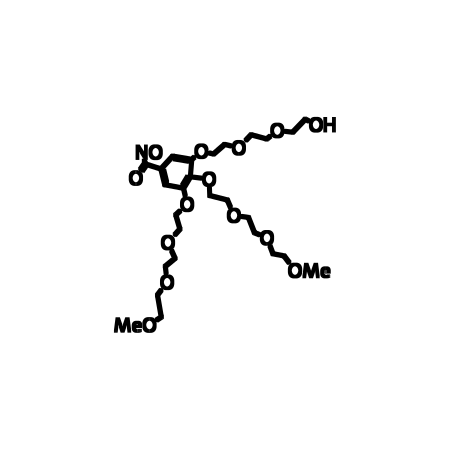 COCCOCCOCCOc1cc(C(=O)N=O)cc(OCCOCCOCCO)c1OCCOCCOCCOC